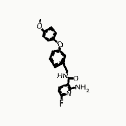 COc1ccc(Oc2cccc(CNC(=O)c3ccc(F)nc3N)c2)cc1